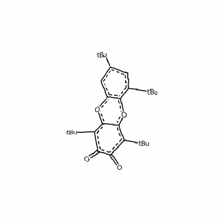 CC(C)(C)c1cc(C(C)(C)C)c2oc3c(C(C)(C)C)c(=O)c(=O)c(C(C)(C)C)c-3oc2c1